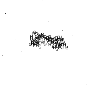 CC[C@H](C)[C@@H]([C@@H](CC(=O)N1CCC[C@H]1[C@H](OC)[C@@H](C)C(=O)NS(=O)(=O)Cc1ccc(NC(=O)[C@H](CCCNC=O)NC(=O)[C@@H](NC(=O)CC(C)(C)COCC(C)(C)CN2C(=O)C=CC2=O)C(C)C)cc1)OC)N(C)C(=O)[C@@H](NC(=O)[C@H](C(C)C)N(C)C)C(C)C